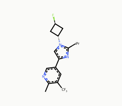 Cc1ncc(-c2cn([C@H]3C[C@H](F)C3)c(C(C)C)n2)cc1C(F)(F)F